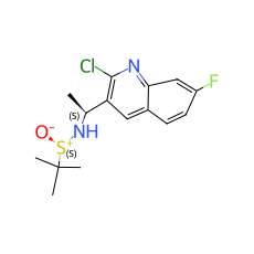 C[C@H](N[S@+]([O-])C(C)(C)C)c1cc2ccc(F)cc2nc1Cl